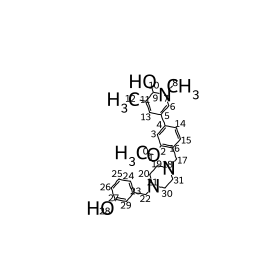 COc1cc(C2=CN(C)C(O)C(C)=C2)ccc1CN1CCN(Cc2cccc(O)c2)CC1